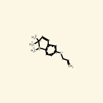 C=CCSc1ccc2c(c1)C=CC(C)(C)N2C